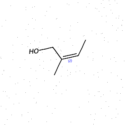 C/C=C(/C)CO